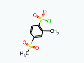 Cc1cc(S(C)(=O)=O)ccc1S(=O)(=O)Cl